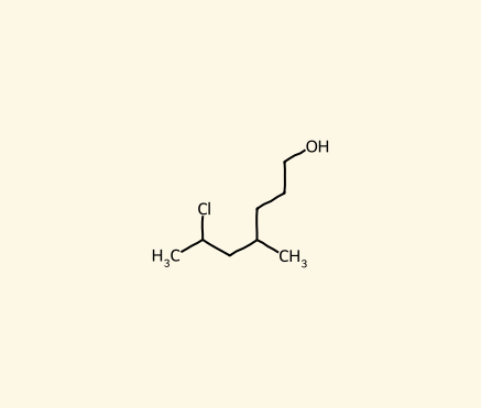 CC(Cl)CC(C)CCCO